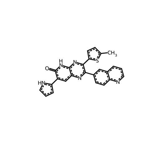 Cc1ccc(-c2nc3[nH]c(=O)c(-c4ccc[nH]4)cc3nc2-c2ccc3ncccc3c2)s1